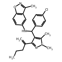 C=C(CCC)c1nn(C)c(C)c1C(Nc1ccc2onc(C)c2c1)c1ccc(Cl)cc1